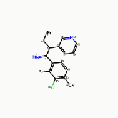 Cc1c(C(=N)C(CC(C)C)c2cccnc2)ccc(C#N)c1Cl